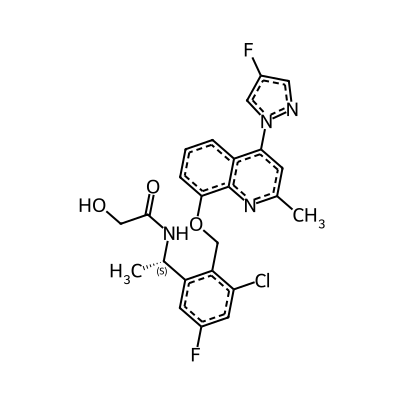 Cc1cc(-n2cc(F)cn2)c2cccc(OCc3c(Cl)cc(F)cc3[C@H](C)NC(=O)CO)c2n1